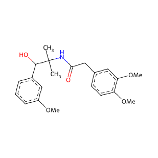 COc1cccc(C(O)C(C)(C)NC(=O)Cc2ccc(OC)c(OC)c2)c1